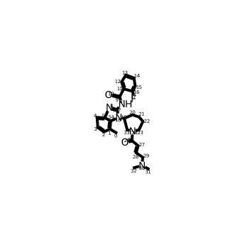 Cc1cccc2nc(NC(=O)c3ccccc3F)n(C3CCCCN(C(=O)C=CCN(C)C)C3)c12